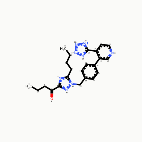 CCCCc1nc(C(=O)CCC)nn1Cc1ccc(-c2cnccc2-c2nnn[nH]2)cc1